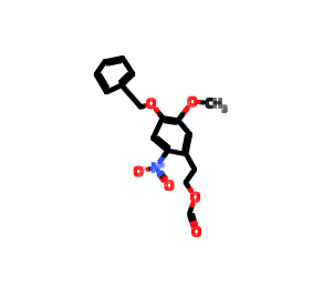 COc1cc(CCOC=O)c([N+](=O)[O-])cc1OCc1ccccc1